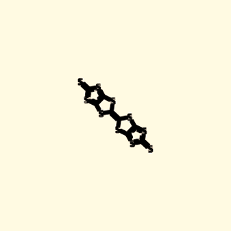 S=c1sc2c(s1)SC(=C1Sc3sc(=S)sc3S1)S2